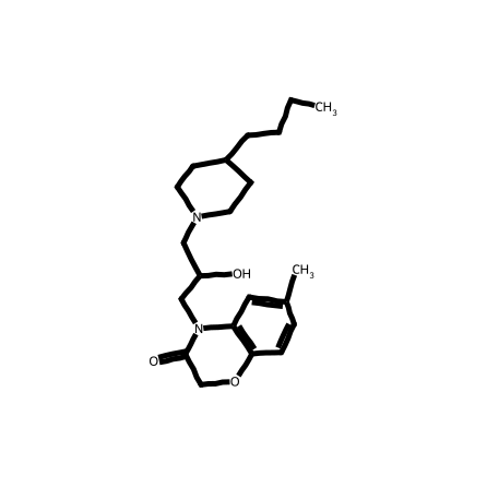 CCCCC1CCN(CC(O)CN2C(=O)COc3ccc(C)cc32)CC1